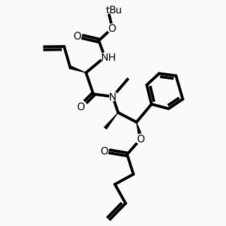 C=CCCC(=O)O[C@H](c1ccccc1)[C@@H](C)N(C)C(=O)[C@@H](CC=C)NC(=O)OC(C)(C)C